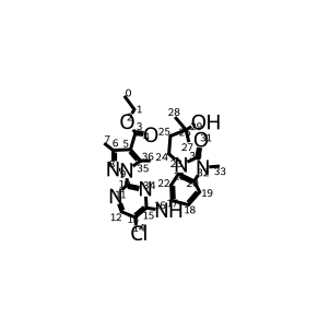 CCOC(=O)c1c(C)nn(-c2ncc(Cl)c(Nc3ccc4c(c3)n(CCC(C)(C)O)c(=O)n4C)n2)c1C